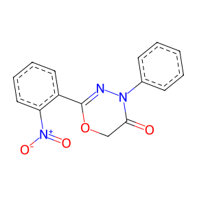 O=C1COC(c2ccccc2[N+](=O)[O-])=NN1c1ccccc1